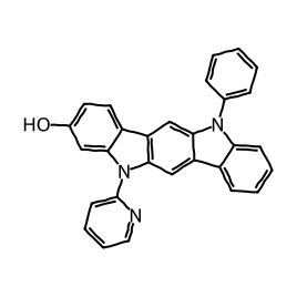 Oc1ccc2c3cc4c(cc3n(-c3ccccn3)c2c1)c1ccccc1n4-c1ccccc1